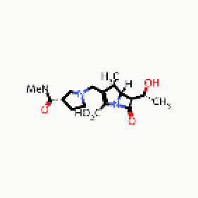 CNC(=O)[C@H]1CCN(CC2=C(C(=O)O)N3C(=O)[C@H]([C@@H](C)O)[C@H]3[C@H]2C)C1